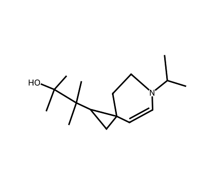 CC(C)N1C=CC2(CC1)CC2C(C)(C)C(C)(C)O